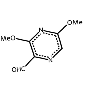 COc1cnc(C=O)c(OC)n1